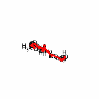 Cc1c(S(C)(=O)=O)c(-c2cc(F)cc(N3CCN(c4ccc(NSc5ccc(N[C@H](CCN6CCC(C(=O)CCCn7cc(COCCOCCOCCNc8cccc9c8C(=O)N(C8CCC(=O)NC8=O)C9=O)nn7)CC6)CSc6ccccc6)c(S(=O)(=O)C(F)(F)F)c5)cc4)CC3)c2)c(-c2ccc(Cl)cc2)n1C(C)C